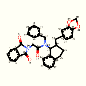 O=C1c2ccccc2C(=O)N1CC(=O)N(Cc1ccccc1)C1c2ccccc2CCC1Cc1ccc2c(c1)OCO2